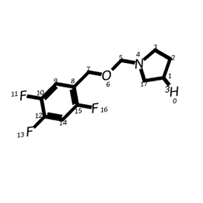 [3H]C1CCN(COCc2cc(F)c(F)cc2F)C1